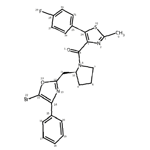 Cc1nc(C(=O)N2CCC[C@H]2Cc2nc(-c3ccccc3)c(Br)o2)c(-c2ccc(F)cc2)s1